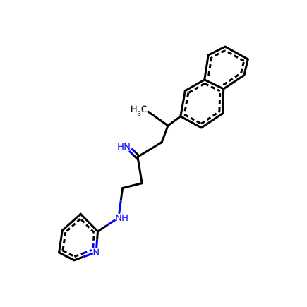 CC(CC(=N)CCNc1ccccn1)c1ccc2ccccc2c1